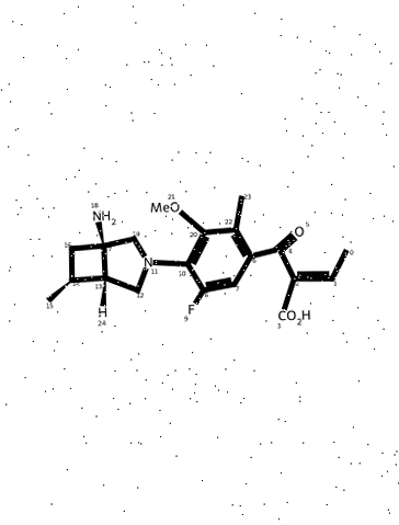 C/C=C(/C(=O)O)C(=O)c1cc(F)c(N2C[C@@H]3[C@@H](C)C[C@]3(N)C2)c(OC)c1C